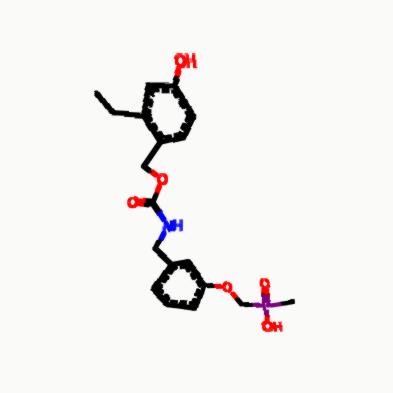 CCc1cc(O)ccc1COC(=O)NCc1cccc(OCP(C)(=O)O)c1